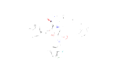 CN1C[C@]2(C[C@@H](COCc3ccccc3)C2)n2cc(C(=O)NCc3cccc(Cl)c3F)c(=O)c(OCc3ccccc3)c2C1=O